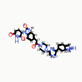 Cn1c(=O)n(C2CCC(=O)NC2=O)c2ccc(CC(=O)N3CCN(c4cncc(-c5ccc6c[nH]nc6c5)n4)CC3)cc21